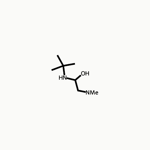 CNCC(O)NC(C)(C)C